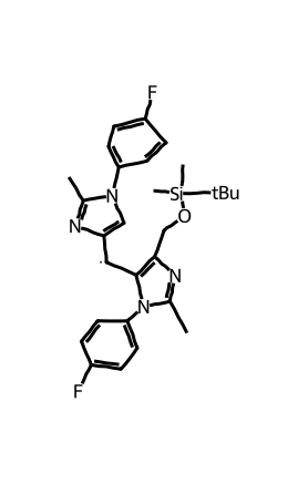 Cc1nc([CH]c2c(CO[Si](C)(C)C(C)(C)C)nc(C)n2-c2ccc(F)cc2)cn1-c1ccc(F)cc1